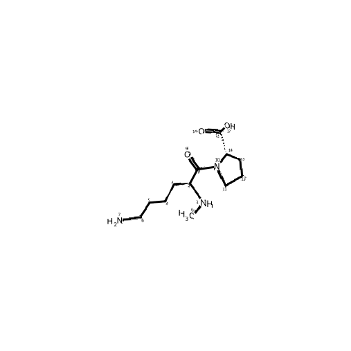 CN[C@@H](CCCCN)C(=O)N1CCC[C@H]1C(=O)O